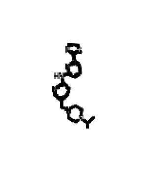 CC(C)N1CCN(Cc2ccc(Nc3cccc(-c4nccs4)n3)nc2)CC1